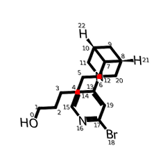 OCCCCCCC1[C@@H]2C[C@H]1CN(c1ccnc(Br)c1)C2